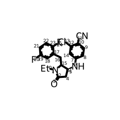 CCN1C(=O)C[C@H](Nc2ccc(C#N)c(Cl)c2)C1Cc1cc(F)ccc1F